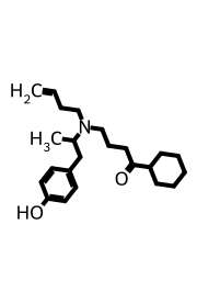 C=CCCN(CCCC(=O)C1CCCCC1)C(C)Cc1ccc(O)cc1